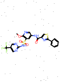 COc1ncc(NC(=O)c2csc(-c3ccccc3)n2)cc1S(=O)(=O)Nc1ncc(C(F)(F)F)cn1